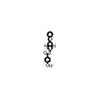 O=C(SN1C[C@@H]2C[C@](F)(Cc3ccccc3)C[C@@H]2C1)c1ccc(O)cc1